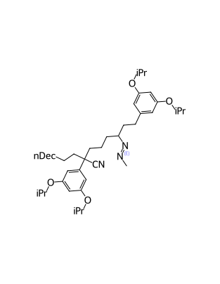 CCCCCCCCCCCCC(C#N)(CCCC(CCc1cc(OC(C)C)cc(OC(C)C)c1)/N=N/C)c1cc(OC(C)C)cc(OC(C)C)c1